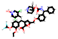 CCOc1cc([C@H](Cc2c(Cl)c[n+](O)cc2Cl)c2cc(COc3cccc([C@@H](NC(=O)O[C@H]4CN5CCC4CC5)c4ccccc4)c3)oc2C(=O)[O-])ccc1OC(F)F